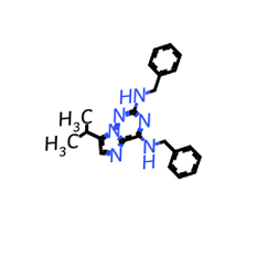 CC(C)c1cnc2c(NCc3ccccc3)nc(NCc3ccccc3)nn12